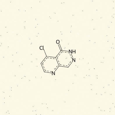 O=c1[nH]ncc2nccc(Cl)c12